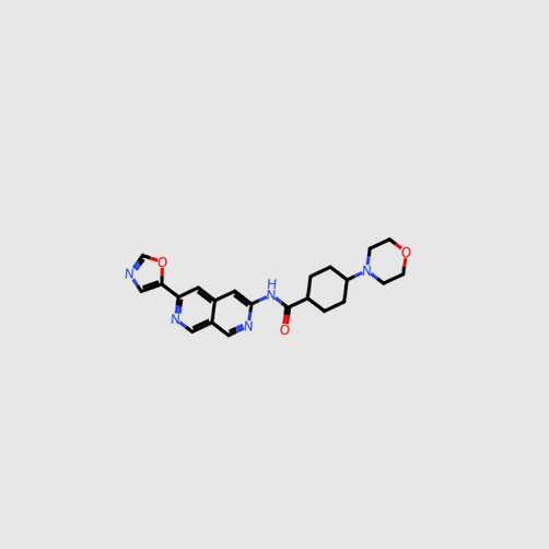 O=C(Nc1cc2cc(-c3cnco3)ncc2cn1)C1CCC(N2CCOCC2)CC1